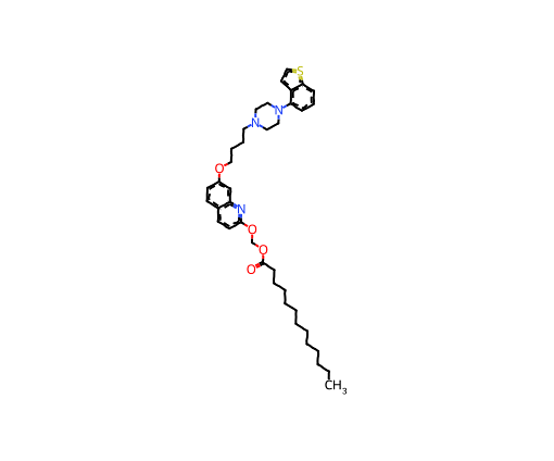 CCCCCCCCCCCCC(=O)OCOc1ccc2ccc(OCCCCN3CCN(c4cccc5sccc45)CC3)cc2n1